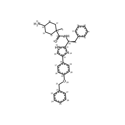 CC1(C(=O)N[C@@H](Cc2ccccc2)c2nc(-c3ccc(OCc4ccccc4)cc3)c[nH]2)CCC(N)CC1